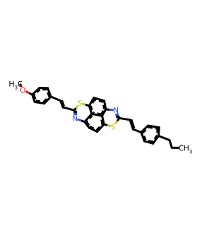 CCCc1ccc(/C=C/C2=Nc3ccc4c5c(ccc(c35)S2)N=C(/C=C/c2ccc(OC)cc2)S4)cc1